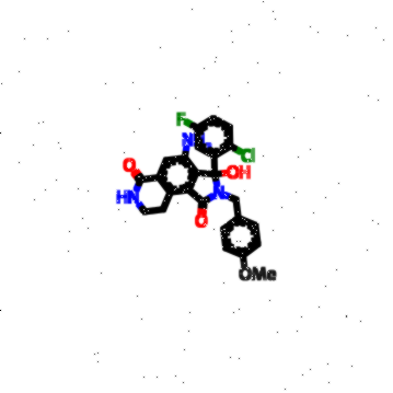 COc1ccc(CN2C(=O)c3c4c(cc(N)c3C2(O)c2cc(F)ccc2Cl)C(=O)NCC4)cc1